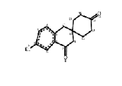 CCc1ccc2c(c1)C(=O)CC1(CCC(=O)CC1)C2